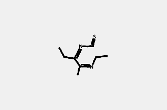 CC/N=C(C)\C(CC)=N/C=S